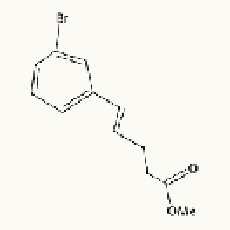 COC(=O)CC/C=C/c1cccc(Br)c1